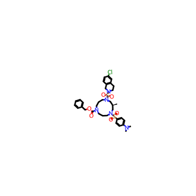 C[C@H]1CN(S(=O)(=O)c2ccc(N(C)C)cc2)CCCN(C(=O)OCc2ccccc2)CCCN(S(=O)(=O)N2CCc3cc(Cl)ccc3C2)C1